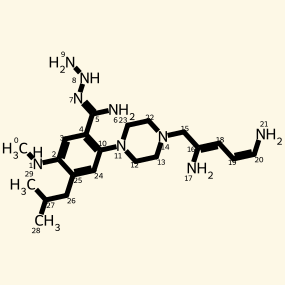 CNc1cc(/C(N)=N/NN)c(N2CCN(C/C(N)=C/C=C\N)CC2)cc1CC(C)C